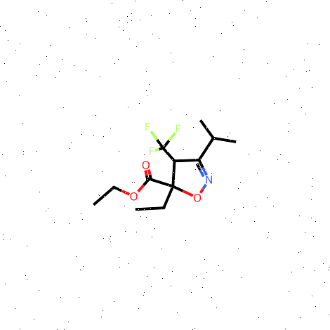 CCOC(=O)C1(CC)ON=C(C(C)C)C1C(F)(F)F